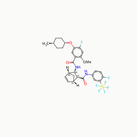 COc1cc(F)c(O[C@H]2CC[C@@H](C)CC2)cc1C(=O)N[C@H]1[C@@H](C(=O)Nc2ccc(F)c(S(F)(F)(F)(F)F)c2)[C@@H]2C=C[C@H]1C2